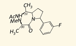 CN[C@H](C)C(=O)N1C(c2cccc(F)c2)CCC1[C@H](C)NC(C)=O